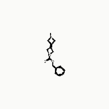 O=C(OCc1ccccc1)N1CC(=C2CNC2)C1